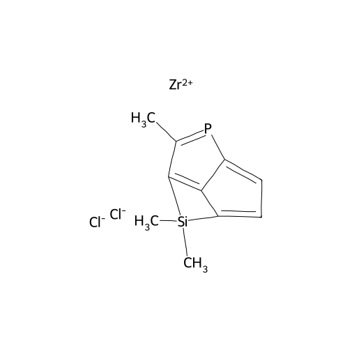 CC1=PC2=CC=C3C2=C1[Si]3(C)C.[Cl-].[Cl-].[Zr+2]